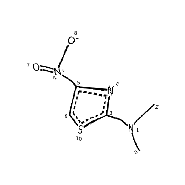 CN(C)c1nc([N+](=O)[O-])cs1